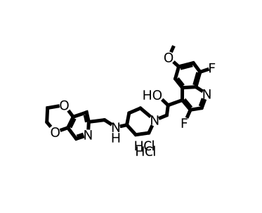 COc1cc(F)c2ncc(F)c(C(O)CN3CCC(NCc4cc5c(cn4)OCCO5)CC3)c2c1.Cl.Cl